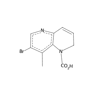 Cc1c(Br)cnc2c1N(C(=O)O)CC=C2